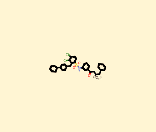 O=C(CC(Cc1ccccc1)C(=O)O)c1cccc(NS(=O)(=O)c2ccc(Cl)c(Cl)c2Cc2ccc(-c3ccccc3)cc2)c1